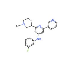 CC(=O)N1CCCC(c2cc(Nc3cccc(F)c3)cc(-c3cccnc3)n2)C1